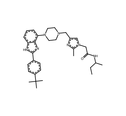 CCC(C)NC(=O)Cn1cc(CN2CCN(c3cccc4[nH]c(-c5ccc(C(C)(C)C)cc5)nc34)CC2)nc1C